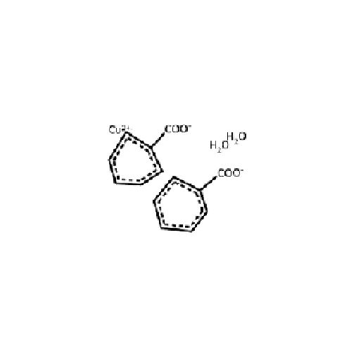 O.O.O=C([O-])c1ccccc1.O=C([O-])c1ccccc1.[Cu+2]